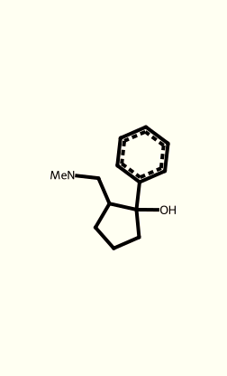 CNCC1CCCC1(O)c1ccccc1